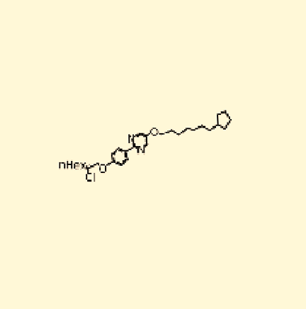 CCCCCC[C@@H](Cl)COc1ccc(-c2ncc(OCCCCCCCC3CCCC3)cn2)cc1